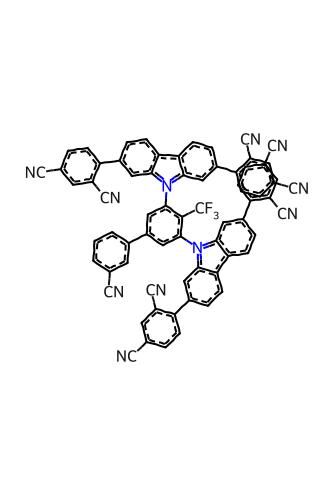 N#Cc1cccc(-c2cc(-n3c4cc(-c5ccc(C#N)cc5C#N)ccc4c4ccc(-c5ccc(C#N)cc5C#N)cc43)c(C(F)(F)F)c(-n3c4cc(-c5ccc(C#N)cc5C#N)ccc4c4ccc(-c5ccc(C#N)cc5C#N)cc43)c2)c1